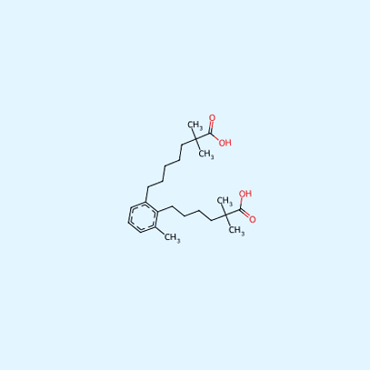 Cc1cccc(CCCCCC(C)(C)C(=O)O)c1CCCCC(C)(C)C(=O)O